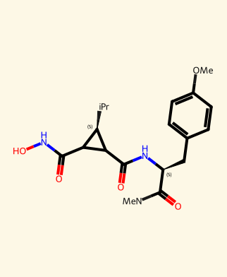 CNC(=O)[C@H](Cc1ccc(OC)cc1)NC(=O)C1C(C(=O)NO)[C@H]1C(C)C